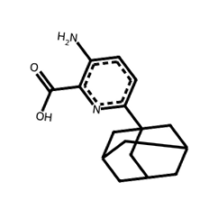 Nc1ccc(C23CC4CC(CC(C4)C2)C3)nc1C(=O)O